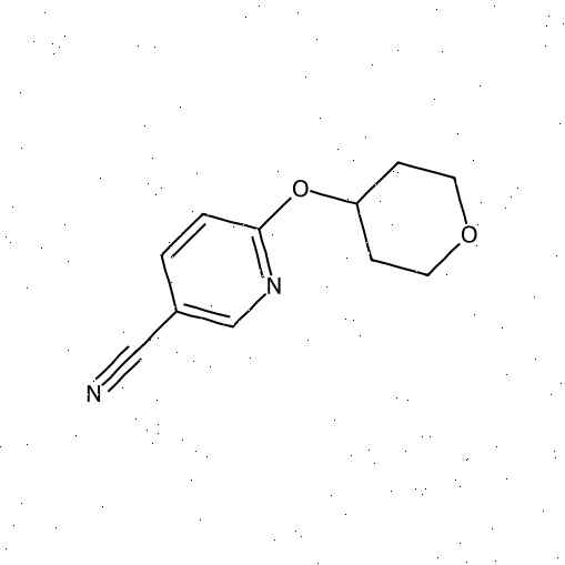 N#Cc1ccc(OC2CCOCC2)nc1